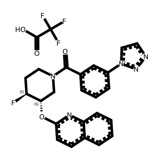 O=C(O)C(F)(F)F.O=C(c1cccc(-n2ccnn2)c1)N1CC[C@H](F)[C@@H](Oc2ccc3ccccc3n2)C1